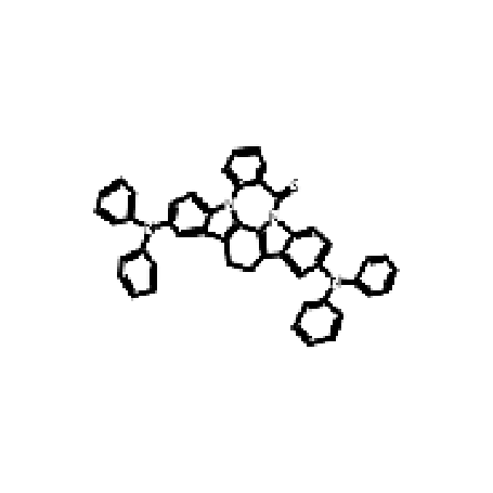 S=c1c2ccccc2n2c3ccc(N(c4ccccc4)c4ccccc4)cc3c3c2c2c(c4cc(N(c5ccccc5)c5ccccc5)ccc4n12)CC3